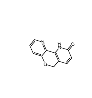 O=c1ccc2c([nH]1)-c1ncccc1OC2